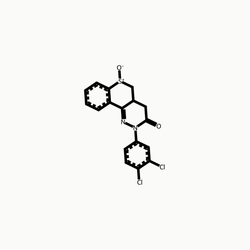 O=C1CC2C[S+]([O-])c3ccccc3C2=NN1c1ccc(Cl)c(Cl)c1